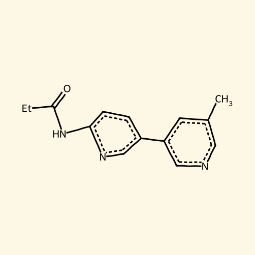 CCC(=O)Nc1ccc(-c2cncc(C)c2)cn1